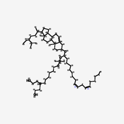 CCCCC/C=C\C/C=C\CCCCCCCC(OC1CCC2(C)C(=CCC3C2CCC2(C)C(C(C)CCC(CC)C(C)C)CCC32)C1)O[Si](C)(C)OCCCCCCN(CCO)CCO